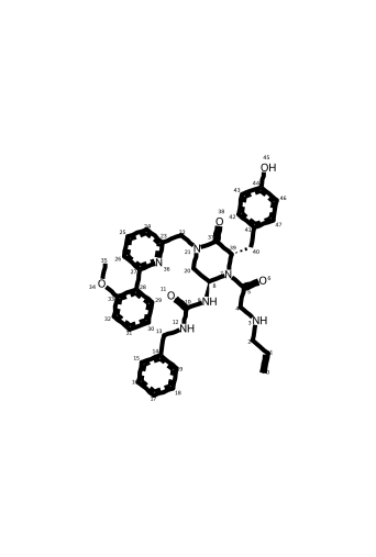 C=CCNCC(=O)N1[C@@H](NC(=O)NCc2ccccc2)CN(Cc2cccc(-c3ccccc3OC)n2)C(=O)[C@@H]1Cc1ccc(O)cc1